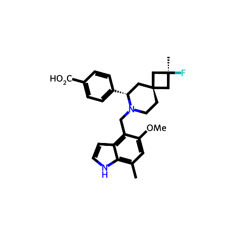 COc1cc(C)c2[nH]ccc2c1CN1CC[C@]2(C[C@H]1c1ccc(C(=O)O)cc1)C[C@](C)(F)C2